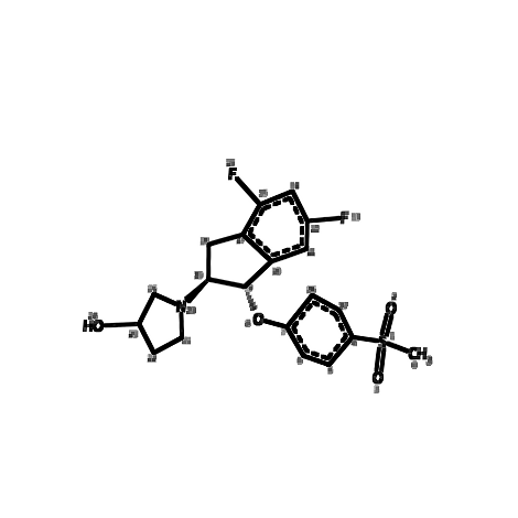 CS(=O)(=O)c1ccc(O[C@H]2c3cc(F)cc(F)c3C[C@@H]2N2CCC(O)C2)cc1